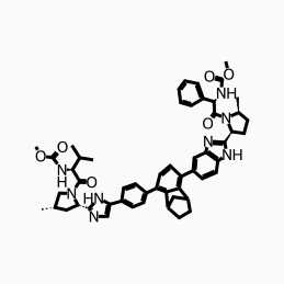 COC(=O)N[C@H](C(=O)N1[C@@H](C)CC[C@H]1c1nc2cc(-c3ccc(-c4ccc(-c5cnc([C@@H]6C[C@H](C)CN6C(=O)[C@@H](NC(=O)OC)C(C)C)[nH]5)cc4)c4c3C3CCC4C3)ccc2[nH]1)c1ccccc1